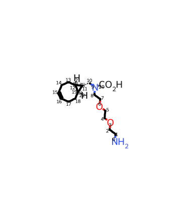 NCCOCCOCCN(C[C@H]1[C@@H]2CCC#CCC[C@@H]21)C(=O)O